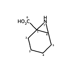 O=C(O)C12CCCCC1N2